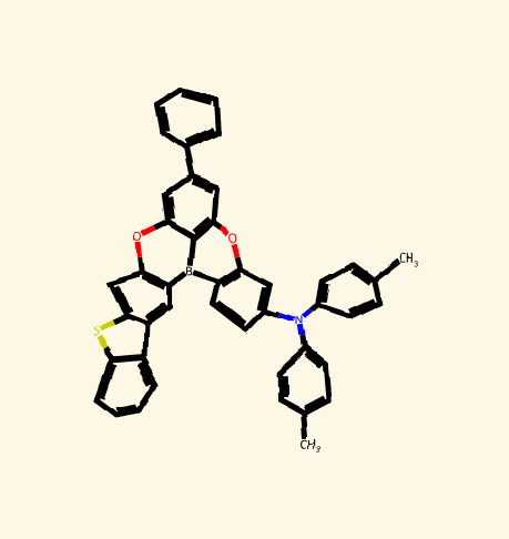 Cc1ccc(N(c2ccc(C)cc2)c2ccc3c(c2)Oc2cc(-c4ccccc4)cc4c2B3c2cc3c(cc2O4)sc2ccccc23)cc1